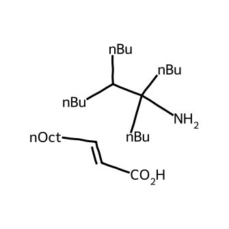 CCCCC(CCCC)C(N)(CCCC)CCCC.CCCCCCCCC=CC(=O)O